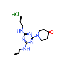 C=CCNc1nc(NCC=C)nc(N2CCC(=O)CC2)n1.Cl